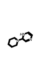 [C]1=CN=CC(N2CCCCC2)N1